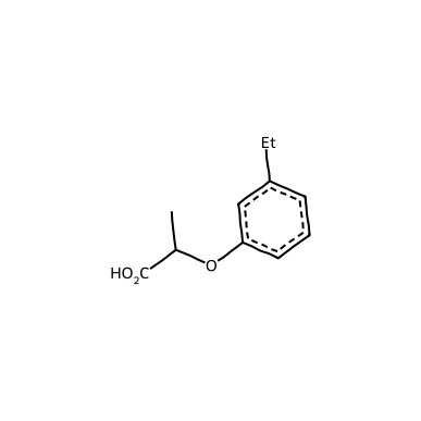 [CH2]Cc1cccc(OC(C)C(=O)O)c1